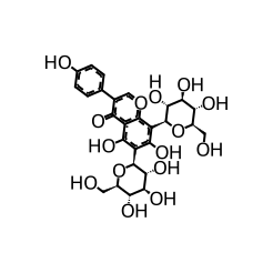 O=c1c(-c2ccc(O)cc2)coc2c([C@@H]3O[C@H](CO)[C@@H](O)[C@H](O)[C@H]3O)c(O)c([C@@H]3O[C@H](CO)[C@@H](O)[C@H](O)[C@H]3O)c(O)c12